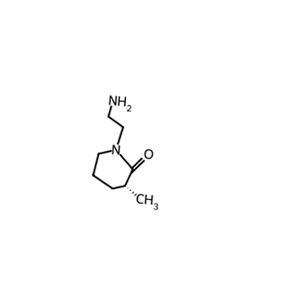 C[C@@H]1CCCN(CCN)C1=O